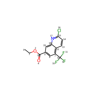 CCOC(=O)c1cc(C(F)(F)F)c2ccc(Cl)nc2c1